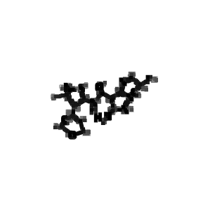 Cc1nsc(NC(=O)c2c(N)nn3cc(F)cnc23)c1C1=CCOCC1